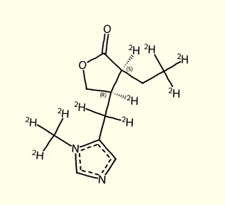 [2H]C([2H])([2H])C[C@]1([2H])C(=O)OC[C@]1([2H])C([2H])([2H])c1cncn1C([2H])([2H])[2H]